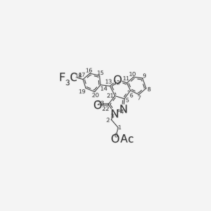 CC(=O)OCCn1nc2c3ccccc3oc(-c3ccc(C(F)(F)F)cc3)c-2c1=O